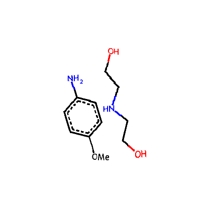 COc1ccc(N)cc1.OCCNCCO